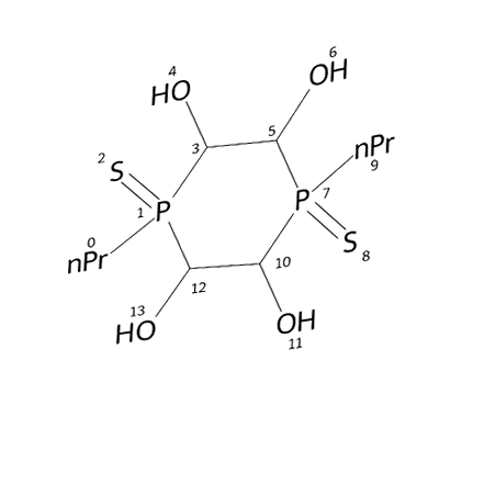 CCCP1(=S)C(O)C(O)P(=S)(CCC)C(O)C1O